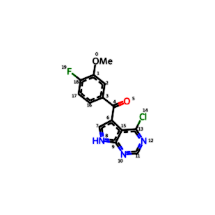 COc1cc(C(=O)c2c[nH]c3ncnc(Cl)c23)ccc1F